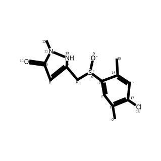 Cc1cc([S+]([O-])Cc2cc(=O)n(C)[nH]2)c(C)cc1Cl